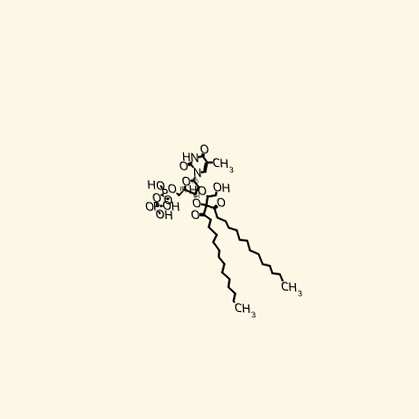 CCCCCCCCCCCCCC(=O)C(O[C@H]1C[C@H](n2cc(C)c(=O)[nH]c2=O)O[C@@H]1COP(=O)(O)OP(=O)(O)O)(C(=O)CCCCCCCCCCCCC)C(O)CO